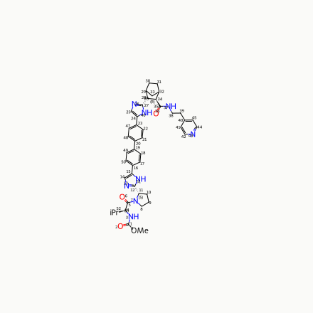 COC(=O)N[C@H](C(=O)N1CCC[C@H]1c1ncc(-c2ccc(-c3ccc(-c4cnc([C@@H]5C6CCC(C6)[C@H]5C(=O)NCCc5ccncc5)[nH]4)cc3)cc2)[nH]1)C(C)C